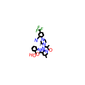 Cc1cc([C@@H](C)Nc2ccccc2C(=O)O)c2nc(N3CCN(c4ccc(C(F)(F)F)cc4C#N)C[C@H]3C)c(C)c(=O)n2c1